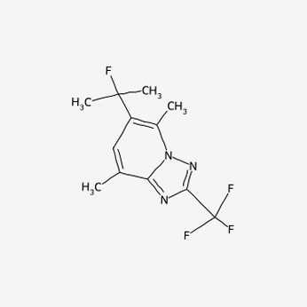 Cc1cc(C(C)(C)F)c(C)n2nc(C(F)(F)F)nc12